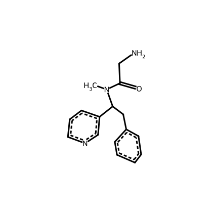 CN(C(=O)CN)C(Cc1ccccc1)c1cccnc1